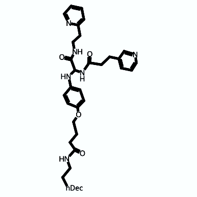 CCCCCCCCCCCCNC(=O)CCCOc1ccc(NC(NC(=O)CCc2cccnc2)C(=O)NCCc2ccccn2)cc1